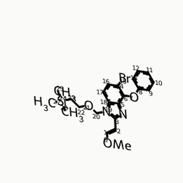 COC=Cc1nc2c(Oc3ccccc3)c(Br)ccc2n1COCC[Si](C)(C)C